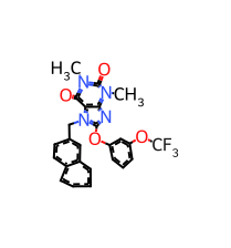 Cn1c(=O)c2c(nc(Oc3cccc(OC(F)(F)F)c3)n2Cc2ccc3ccccc3c2)n(C)c1=O